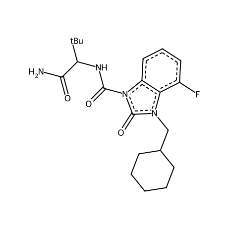 CC(C)(C)C(NC(=O)n1c(=O)n(CC2CCCCC2)c2c(F)cccc21)C(N)=O